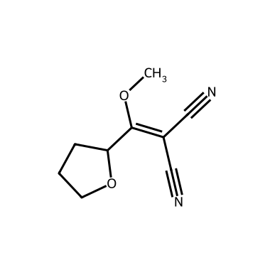 COC(=C(C#N)C#N)C1CCCO1